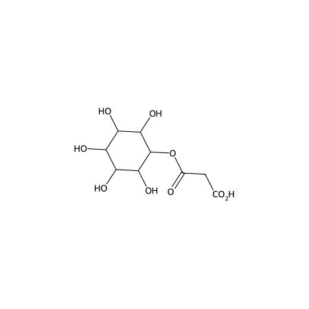 O=C(O)CC(=O)OC1C(O)C(O)C(O)C(O)C1O